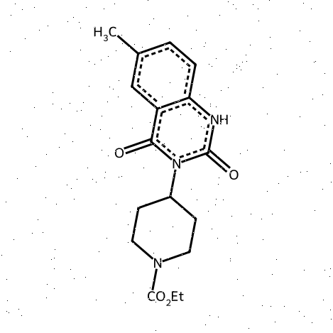 CCOC(=O)N1CCC(n2c(=O)[nH]c3ccc(C)cc3c2=O)CC1